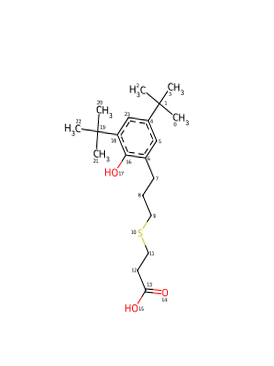 CC(C)(C)c1cc(CCCSCCC(=O)O)c(O)c(C(C)(C)C)c1